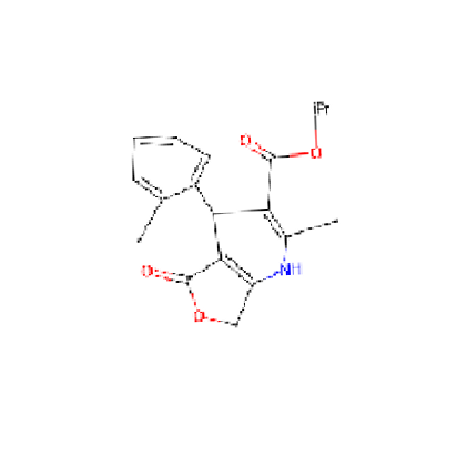 CC1=C(C(=O)OC(C)C)C(c2ccccc2C)C2=C(COC2=O)N1